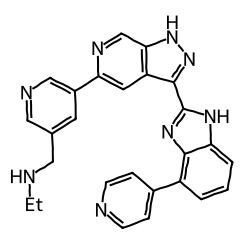 CCNCc1cncc(-c2cc3c(-c4nc5c(-c6ccncc6)cccc5[nH]4)n[nH]c3cn2)c1